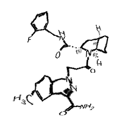 Cc1ccc2c(c1)c(C(N)=O)nn2CC(=O)N1[C@@H]2CC[C@@H]2C[C@H]1C(=O)NCc1ccccc1F